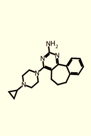 Nc1nc2c(c(N3CCN(C4CC4)CC3)n1)CCCc1ccccc1-2